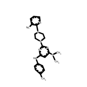 Cc1ccc(Nc2cc(N(C)C)nc(N3CCN(c4ncccc4C#N)CC3)n2)cc1